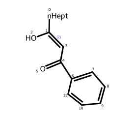 CCCCCCC/C(O)=C/C(=O)c1ccccc1